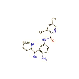 CN/C=C\C(=N)C(=N)c1cc(NC(=O)c2ncc(C#N)cc2C)ccc1N